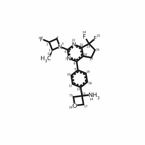 C[C@H]1C(F)CN1c1nc(-c2ccc(C3(N)COC3)cc2)c2c(n1)C(F)(F)CC2